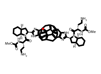 COC(=O)N[C@@H](CCN)C(=O)N1[C@H](c2nc3cc(-c4cc5ccc4CCc4ccc(c(-c6ccc7[nH]c([C@@H]8C[C@@H]9CCCC[C@@H]9N8C(=O)[C@H](CCN)NC(=O)OC)nc7c6)c4)CC5)ccc3[nH]2)C[C@@H]2CCCC[C@@H]21